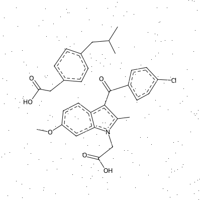 CC(C)Cc1ccc(CC(=O)O)cc1.COc1ccc2c(C(=O)c3ccc(Cl)cc3)c(C)n(CC(=O)O)c2c1